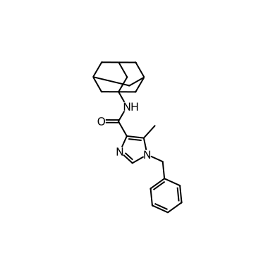 Cc1c(C(=O)NC23CC4CC(CC(C4)C2)C3)ncn1Cc1ccccc1